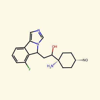 N[C@]1(C(O)CC2c3c(F)cccc3-c3cncn32)CC[C@H](N=O)CC1